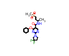 CC(C=CS(C)(=O)=O)NC(=O)c1cnc(N2CCC(F)(F)C2)nc1Oc1ccccc1